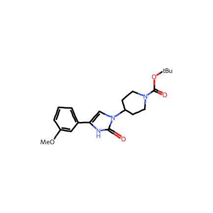 COc1cccc(-c2cn(C3CCN(C(=O)OC(C)(C)C)CC3)c(=O)[nH]2)c1